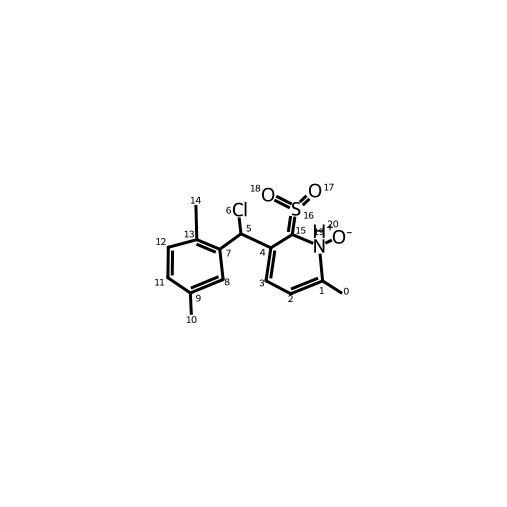 CC1=CC=C(C(Cl)c2cc(C)ccc2C)C(=S(=O)=O)[NH+]1[O-]